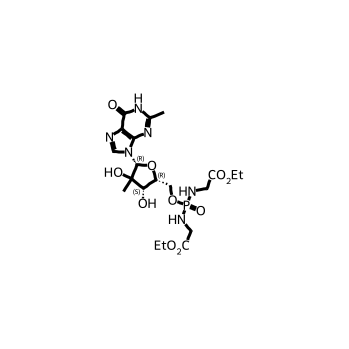 CCOC(=O)CNP(=O)(NCC(=O)OCC)OC[C@H]1O[C@@H](n2cnc3c(=O)[nH]c(C)nc32)C(C)(O)[C@H]1O